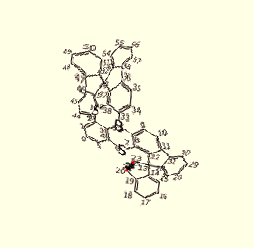 c1cc2c3c(c1)Sc1c(ccc4c1C1(c5ccccc5-c5ccccc51)c1ccccc1-4)B3c1ccc3c(c1S2)C1(c2ccccc2-c2ccccc21)c1ccccc1-3